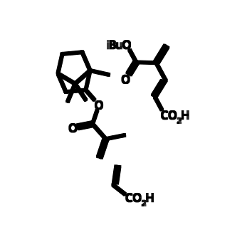 C=C(C)C(=O)OC1CC2CCC1(C)C2(C)C.C=C(C=CC(=O)O)C(=O)OCC(C)C.C=CC(=O)O